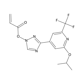 C=CC(=O)On1cnc(-c2cc(OC(C)C)nc(C(F)(F)F)c2)n1